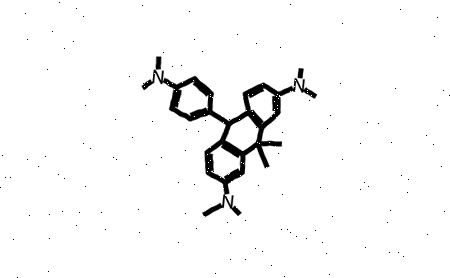 CN(C)c1ccc(C2c3ccc(N(C)C)cc3C(C)(C)c3cc(N(C)C)ccc32)cc1